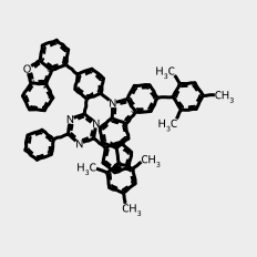 Cc1cc(C)c(-c2ccc3c(c2)c2cc(-c4c(C)cc(C)cc4C)ccc2n3-c2ccc(-c3cccc4oc5ccccc5c34)cc2-c2nc(-c3ccccc3)nc(-c3ccccc3)n2)c(C)c1